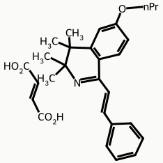 CCCOc1ccc2c(c1)C(C)(C)C(C)(C)N=C2C=Cc1ccccc1.O=C(O)C=CC(=O)O